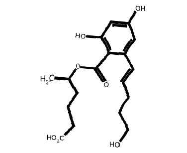 CC(CCCC(=O)O)OC(=O)c1c(O)cc(O)cc1/C=C/CCCO